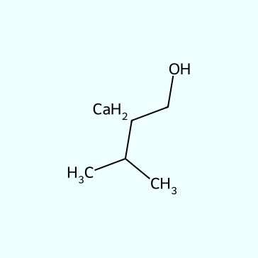 CC(C)CCO.[CaH2]